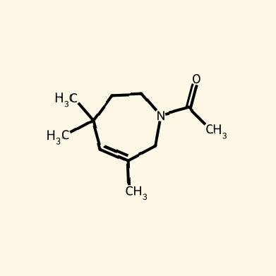 CC(=O)N1CCC(C)(C)C=C(C)C1